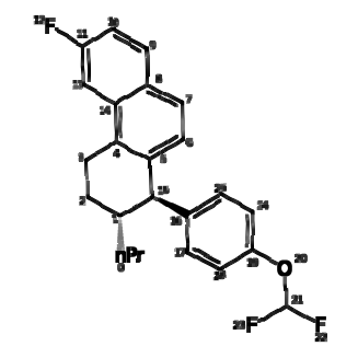 CCC[C@@H]1CCc2c(ccc3ccc(F)cc23)[C@H]1c1ccc(OC(F)F)cc1